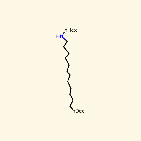 CCCCCCCCCCCCCCCCCCCCCCNCCCCCC